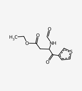 CCOC(=O)CC(NC=O)C(=O)c1ccsc1